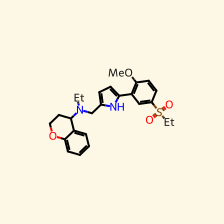 CCN(Cc1ccc(-c2cc(S(=O)(=O)CC)ccc2OC)[nH]1)C1CCOc2ccccc21